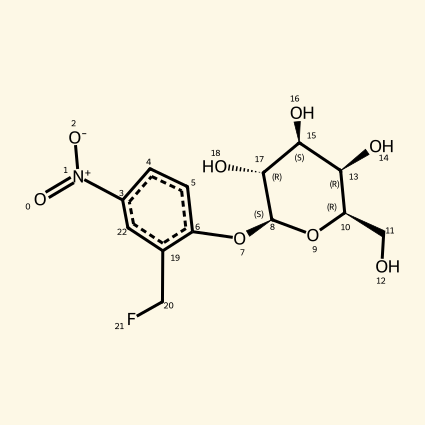 O=[N+]([O-])c1ccc(O[C@@H]2O[C@H](CO)[C@H](O)[C@H](O)[C@H]2O)c(CF)c1